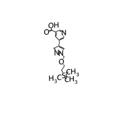 C[Si](C)(C)CCOCn1cc(-c2cncc(C(=O)O)c2)cn1